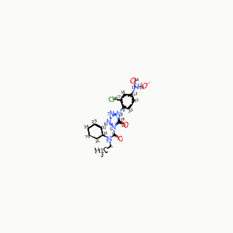 CCN(C(=O)n1nnn(-c2ccc([N+](=O)[O-])cc2Cl)c1=O)C1CCCCC1